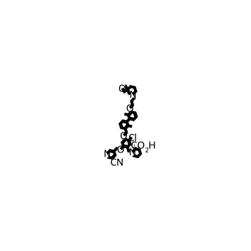 Cc1c(COc2cc(OCc3cncc(C#N)c3)c(CN3CCCC[C@H]3C(=O)O)cc2Cl)cccc1-c1cccc(OCCCN2CCCC3(COC3)C2)c1C